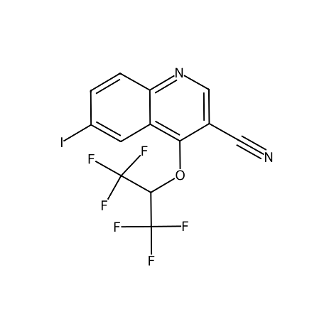 N#Cc1cnc2ccc(I)cc2c1OC(C(F)(F)F)C(F)(F)F